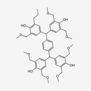 CCCc1cc(C(c2ccc(C(c3cc(COC)c(O)c(COC)c3)c3cc(COC)c(O)c(COC)c3)cc2)c2cc(COC)c(O)c(COC)c2)cc(COC)c1O